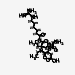 CCN(C(=O)[C@H](CC(=O)O)NC(=O)CN)C(CC)(CC)C(=O)OC(=O)CCCCCNC(=N)N